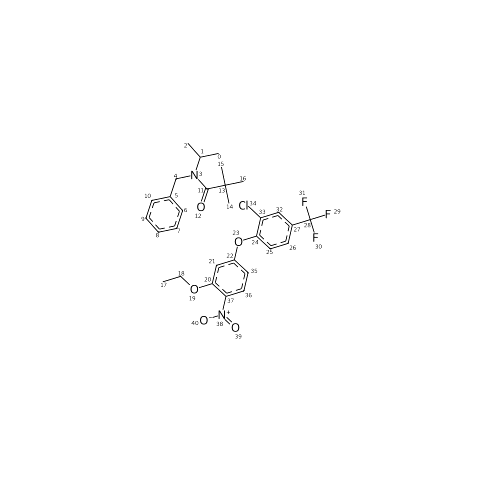 CC(C)N(Cc1ccccc1)C(=O)C(C)(C)C.CCOc1cc(Oc2ccc(C(F)(F)F)cc2Cl)ccc1[N+](=O)[O-]